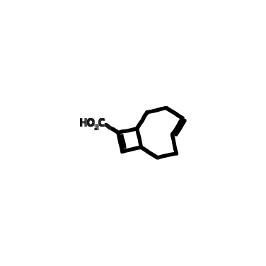 O=C(O)C1=CC2CC/C=C/CCC12